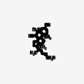 CC[C@H]1[C@@H](O)C2C3CC[C@H]([C@H](C)CCOS(=O)(=O)O)[C@@]3(C)CCC2[C@@]2(C)CC[C@@H](O)C[C@@H]12